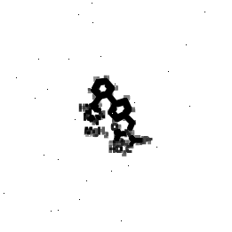 CCCCC(=O)N(Cc1ccc(-c2ccccc2-c2nnn[nH]2)cc1)[C@H](C(=O)O)C(C)C.[MgH2]